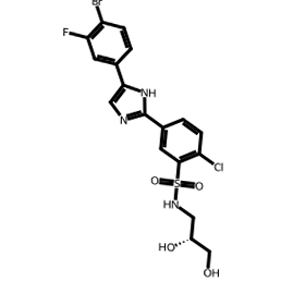 O=S(=O)(NC[C@@H](O)CO)c1cc(-c2ncc(-c3ccc(Br)c(F)c3)[nH]2)ccc1Cl